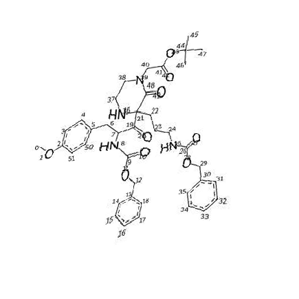 COc1ccc(CC(NC(=O)OCc2ccccc2)C(=O)C2(CCCNC(=O)OCc3ccccc3)NCCN(CC(=O)OC(C)(C)C)C2=O)cc1